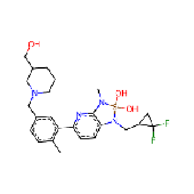 Cc1ccc(CN2CCCC(CO)C2)cc1-c1ccc2c(n1)N(C)S(O)(O)N2CC1CC1(F)F